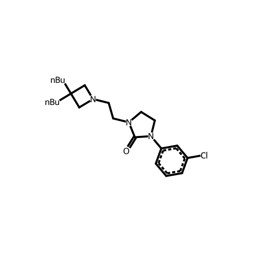 CCCCC1(CCCC)CN(CCN2CCN(c3cccc(Cl)c3)C2=O)C1